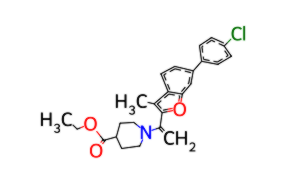 C=C(c1oc2cc(-c3ccc(Cl)cc3)ccc2c1C)N1CCC(C(=O)OCC)CC1